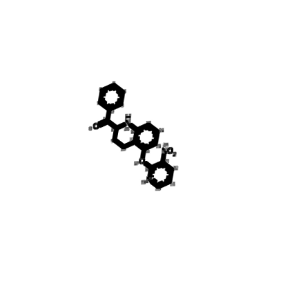 O=C(c1ccccc1)C1CCc2c(cccc2Oc2ncccc2[N+](=O)[O-])N1